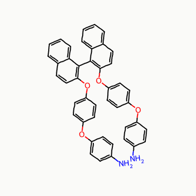 Nc1ccc(Oc2ccc(Oc3ccc4ccccc4c3-c3c(Oc4ccc(Oc5ccc(N)cc5)cc4)ccc4ccccc34)cc2)cc1